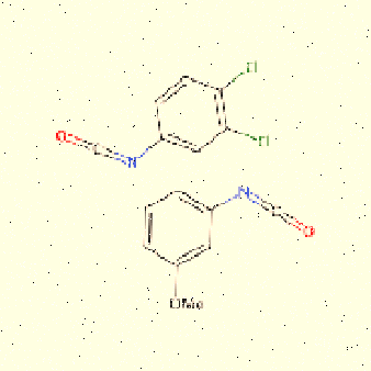 COc1cccc(N=C=O)c1.O=C=Nc1ccc(Cl)c(Cl)c1